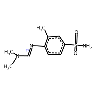 Cc1cc(S(N)(=O)=O)ccc1/N=C/N(C)C